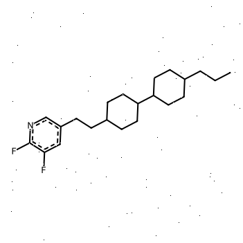 CCCC1CCC(C2CCC(CCc3cnc(F)c(F)c3)CC2)CC1